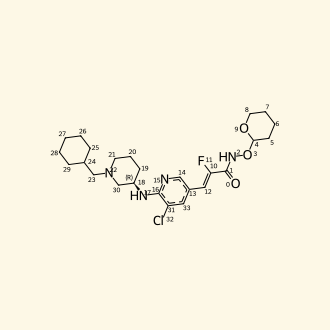 O=C(NOC1CCCCO1)C(F)=Cc1cnc(N[C@@H]2CCCN(CC3CCCCC3)C2)c(Cl)c1